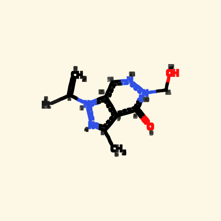 C=C(CC)n1nc(C)c2c(=O)n(CO)ncc21